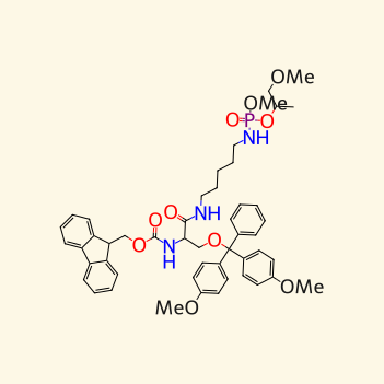 COCC(C)OP(=O)(NCCCCCNC(=O)C(COC(c1ccccc1)(c1ccc(OC)cc1)c1ccc(OC)cc1)NC(=O)OCC1c2ccccc2-c2ccccc21)OC